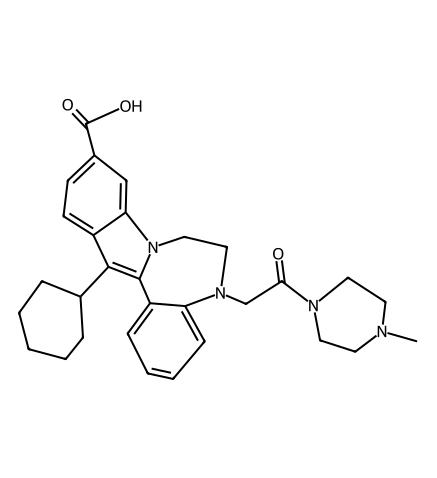 CN1CCN(C(=O)CN2CCn3c(c(C4CCCCC4)c4ccc(C(=O)O)cc43)-c3ccccc32)CC1